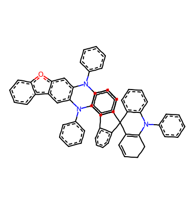 C1=CC2=C(CC1)N(c1ccccc1)c1ccccc1C21c2ccccc2-c2cc(N(c3ccccc3)c3cc4oc5ccccc5c4cc3N(c3ccccc3)c3ccccc3)ccc21